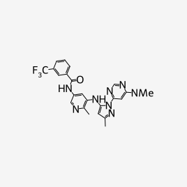 CNc1cc(-n2nc(C)cc2Nc2cc(NC(=O)c3cccc(C(F)(F)F)c3)cnc2C)ncn1